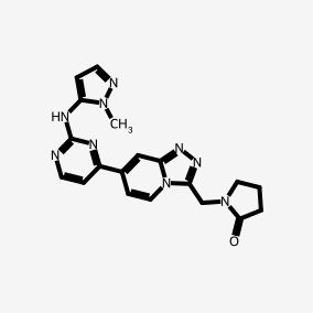 Cn1nccc1Nc1nccc(-c2ccn3c(CN4CCCC4=O)nnc3c2)n1